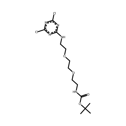 CC(C)(C)OC(=O)NCCOCCOCCNc1nc(Cl)nc(Cl)n1